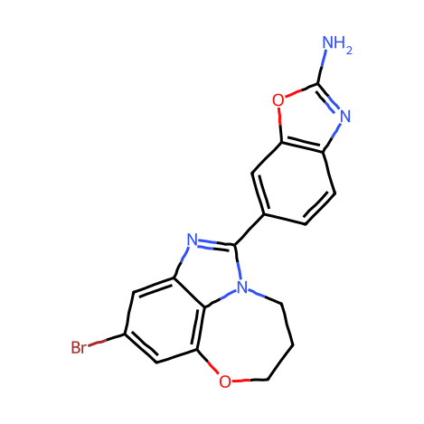 Nc1nc2ccc(-c3nc4cc(Br)cc5c4n3CCCO5)cc2o1